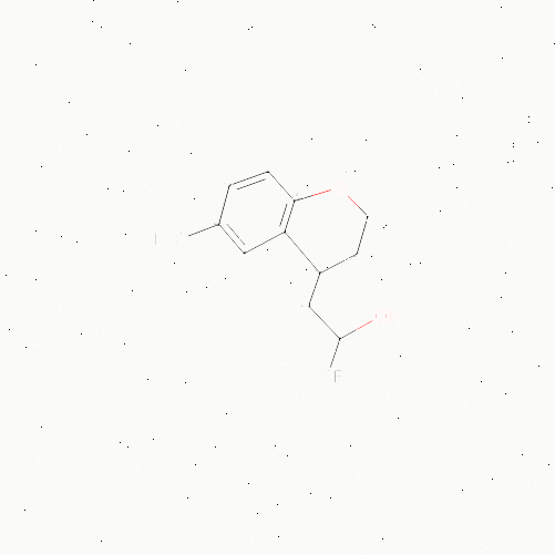 Cc1ccc2c(c1)C(CC(O)C(F)(F)F)CCO2